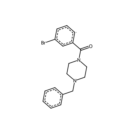 O=C(c1[c]ccc(Br)c1)N1CCN(Cc2ccccc2)CC1